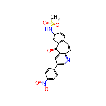 CS(=O)(=O)Nc1ccc2ccc3ncc(-c4ccc([N+](=O)[O-])cc4)cc3c(=O)c2c1